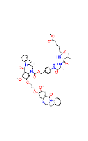 COC(=O)CCCCC(=O)N[C@@H](C(=O)N[C@H](C)C(=O)Nc1ccc(COC(=O)N2C[C@@H]3Cc4ccccc4N3C(=O)c3cc(OC)c(OCCCOc4cc5c(cc4OC)C(=O)N4C(C=N5)CC5C=CC=CC54)cc32)cc1)C(C)C